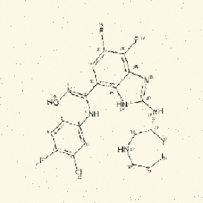 O/N=C(\Nc1ccc(F)c(Cl)c1)c1cc(F)c(F)c2nc(N[C@@H]3CCCCNC3)[nH]c12